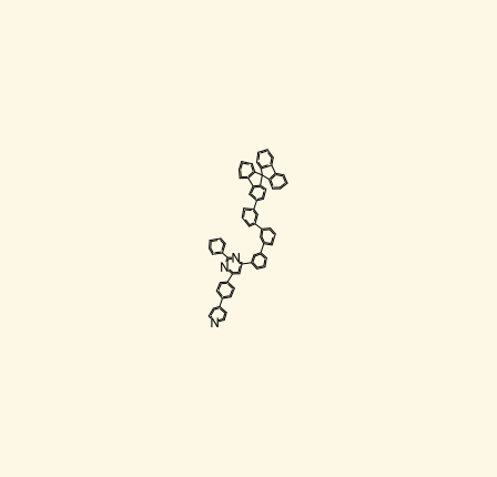 c1ccc(-c2nc(-c3ccc(-c4ccncc4)cc3)cc(-c3cccc(-c4cccc(-c5cccc(-c6ccc7c(c6)-c6ccccc6C76c7ccccc7-c7ccccc76)c5)c4)c3)n2)cc1